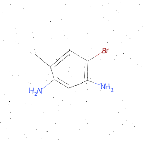 Cc1cc(Br)c(N)cc1N